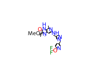 CO[C@H](C)[C@H]1C(=O)Nc2c(cc(NCc3cnn(Cc4ccc(OC(F)F)nc4)c3)nc2C)N1C